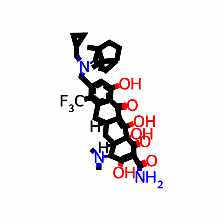 CN(C)[C@@H]1C(O)=C(C(N)=O)C(=O)[C@@]2(O)C(O)=C3C(=O)c4c(O)cc(CN(CC5CC5)[C@H]5CC6CCC5(C)C6(C)C)c(C(F)(F)F)c4C[C@H]3C[C@@H]12